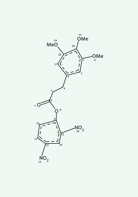 COc1cc(CCC(=O)Oc2ccc([N+](=O)[O-])cc2[N+](=O)[O-])cc(OC)c1OC